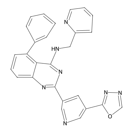 c1ccc(-c2cccc3nc(-c4cncc(-c5nnco5)c4)nc(NCc4ccccn4)c23)cc1